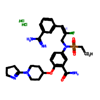 Cl.Cl.N=C(N)c1cccc(/C=C(/F)CN(c2ccc(OC3CCN(C4=NCCC4)CC3)c(C(N)=O)c2)S(=O)(=O)CC(=O)O)c1